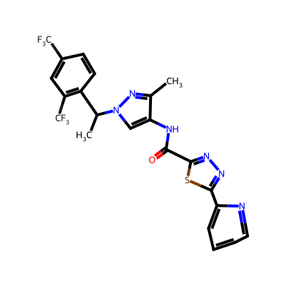 Cc1nn(C(C)c2ccc(C(F)(F)F)cc2C(F)(F)F)cc1NC(=O)c1nnc(-c2ccccn2)s1